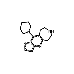 c1cc2nc3c(c(N4CCCCC4)n2n1)CCNCC3